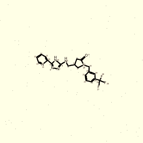 O=C1CC(CNc2nnc(-c3ccccn3)[nH]2)CN1Cc1cccc(C(F)(F)F)c1